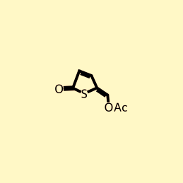 CC(=O)OC=C1C=CC(=O)S1